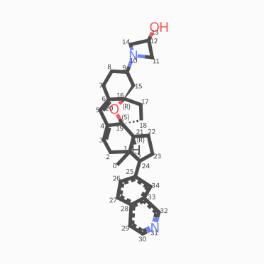 CC12CC=C3C=C4CCC(N5CC(O)C5)C[C@]45CC[C@]3(O5)[C@@H]1CCC2c1ccc2ccncc2c1